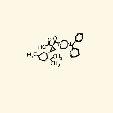 CC(C)[C@@H]1CC[C@@H](C)C[C@@H]1C1CC1(C(=O)O)C(=O)N1CCN(C(c2ccccc2)c2ccccc2)CC1